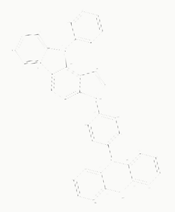 c1ccc(-n2c3ccccc3c3ccc4c(ccn4-c4ccc(N5c6ccccc6Sc6ccccc65)cc4)c32)cc1